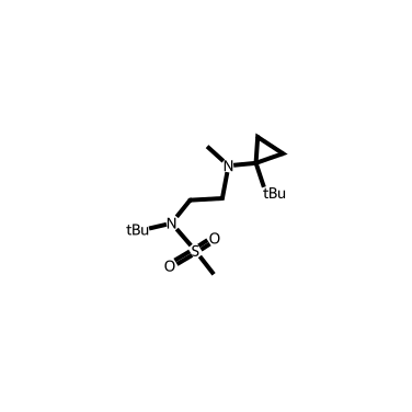 CN(CCN(C(C)(C)C)S(C)(=O)=O)C1(C(C)(C)C)CC1